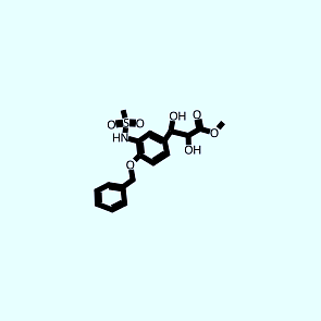 COC(=O)C(O)C(O)c1ccc(OCc2ccccc2)c(NS(C)(=O)=O)c1